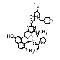 C#Cc1c(F)ccc2cc(O)cc([C@@H]3COc4c(nc(OC[C@]5(C)C[C@@H](F)CN5CC5CCOCC5)nc4N(C)C[C@@H]4CCCN4C(=O)C=C)C3)c12